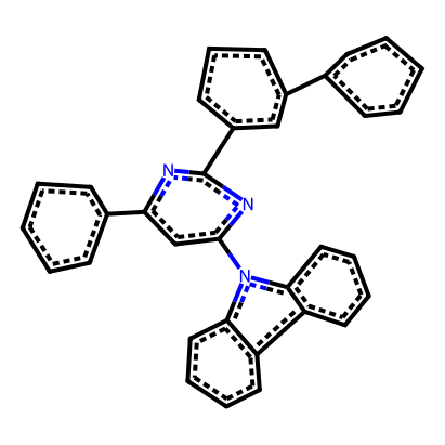 c1ccc(-c2cccc(-c3nc(-c4ccccc4)cc(-n4c5ccccc5c5ccccc54)n3)c2)cc1